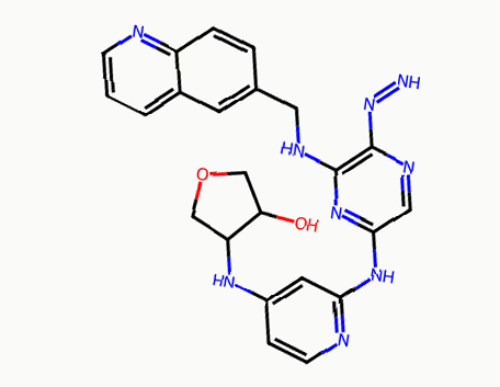 N=Nc1ncc(Nc2cc(NC3COCC3O)ccn2)nc1NCc1ccc2ncccc2c1